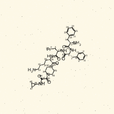 CC(C)C[C@@H](NC(=O)[C@@H](Cc1ccccc1)NC(=O)[C@H](N)Cc1ccccc1)C(=O)N[C@H](CCCCN)C(=O)N1CCN(C(=O)C(=O)NC2CC2)CC1